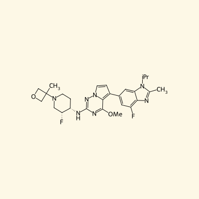 COc1nc(N[C@H]2CCN(C3(C)COC3)C[C@H]2F)nn2ccc(-c3cc(F)c4nc(C)n(C(C)C)c4c3)c12